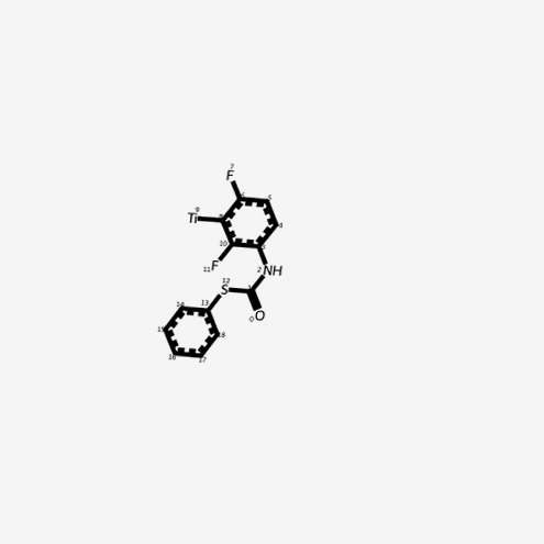 O=C(Nc1ccc(F)[c]([Ti])c1F)Sc1ccccc1